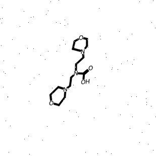 O=C(O)N(CCN1CCOCC1)CCN1CCOCC1